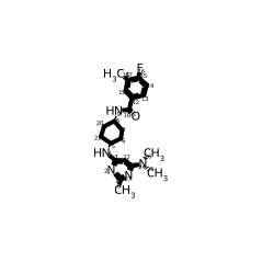 Cc1nc(N[C@H]2CC[C@@H](NC(=O)c3ccc(F)c(C)c3)CC2)cc(N(C)C)n1